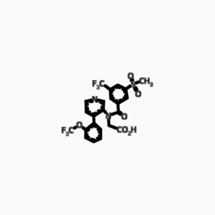 CS(=O)(=O)c1cc(C(=O)N(CC(=O)O)c2cnccc2-c2ccccc2OC(F)(F)F)cc(C(F)(F)F)c1